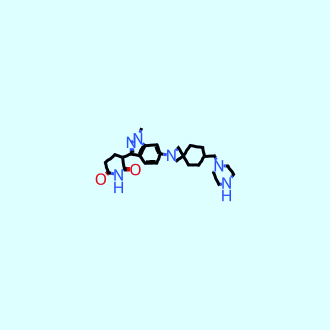 Cn1nc(C2CCC(=O)NC2=O)c2ccc(N3CC4(CCC(CN5CCNCC5)CC4)C3)cc21